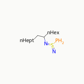 CCCCCCCCC(CCCCCC)N=S(#N)P